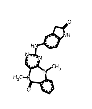 CN1C(=O)c2ccccc2N(C)c2nc(Nc3ccc4c(c3)CC(=O)N4)ncc21